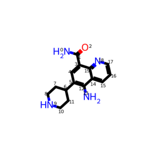 NC(=O)c1cc(C2CCNCC2)c(N)c2cccnc12